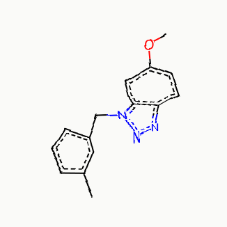 COc1ccc2nnn(Cc3cccc(C)c3)c2c1